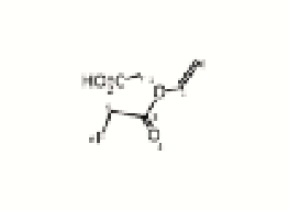 C=COC(=O)CF.CC(=O)O